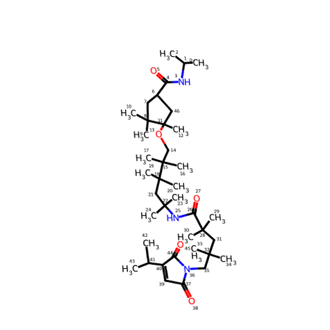 CC(C)NC(=O)C1CC(C)(C)C(C)(OCC(C)(C)C(C)(C)CC(C)(C)NC(=O)C(C)(C)CC(C)(C)CN2C(=O)C=C(C(C)C)C2=O)C1